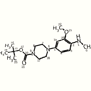 CNc1ccc(N2CCN(C(=O)OC(C)(C)C)CC2)cc1OC